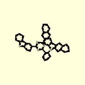 c1ccc(-n2c3ccccc3c3cc4ccccc4cc32)c(-c2nc(-c3ccc4ccccc4c3)nc(-c3ccc4sc5ccccc5c4c3)n2)c1